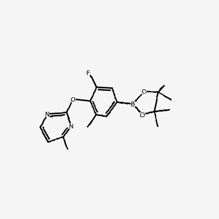 Cc1ccnc(Oc2c(C)cc(B3OC(C)(C)C(C)(C)O3)cc2F)n1